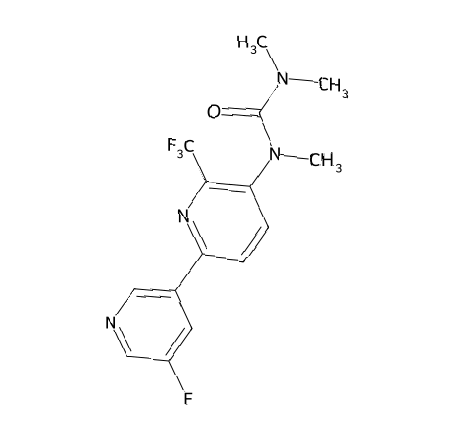 CN(C)C(=O)N(C)c1ccc(-c2cncc(F)c2)nc1C(F)(F)F